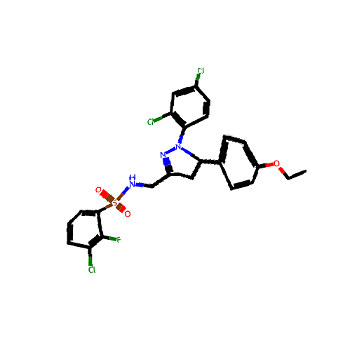 CCOc1ccc(C2CC(CNS(=O)(=O)c3cccc(Cl)c3F)=NN2c2ccc(Cl)cc2Cl)cc1